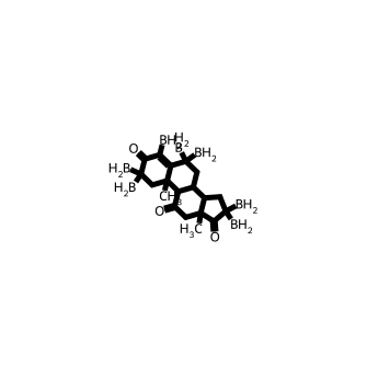 BC1=C2C(B)(B)CC3C4CC(B)(B)C(=O)C4(C)CC(=O)C3C2(C)CC(B)(B)C1=O